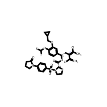 C=C(Cl)/C(C[C@H](OC(=O)[C@@H]1SCCN1S(=O)(=O)c1ccc(N2CCCC2=O)cc1)c1ccc(OC(F)F)c(OCC2CC2)c1)=C(\C)Cl